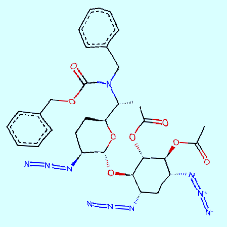 CC(=O)O[C@@H]1[C@@H](OC(C)=O)[C@H](N=[N+]=[N-])C[C@H](N=[N+]=[N-])[C@H]1O[C@H]1O[C@H]([C@@H](C)N(Cc2ccccc2)C(=O)OCc2ccccc2)CC[C@@H]1N=[N+]=[N-]